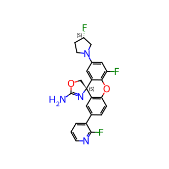 NC1=N[C@@]2(CO1)c1cc(-c3cccnc3F)ccc1Oc1c(F)cc(N3CC[C@H](F)C3)cc12